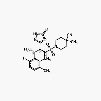 Cc1ccc(F)c([C@H](C)[C@H](NS(=O)(=O)N2CCC(C)(C#N)CC2)c2n[nH]c(=O)o2)c1C